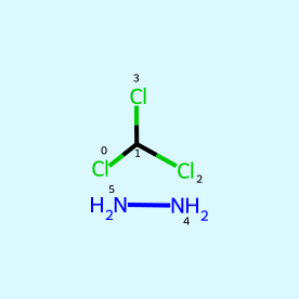 ClC(Cl)Cl.NN